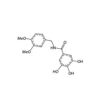 COc1ccc(CNC(=O)c2cc(O)c(O)c(O)c2)cc1OC